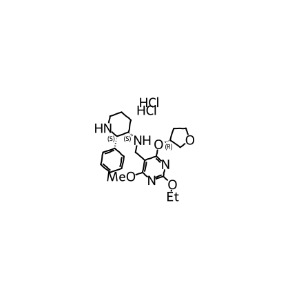 CCOc1nc(OC)c(CN[C@H]2CCCN[C@H]2c2ccccc2)c(O[C@@H]2CCOC2)n1.Cl.Cl